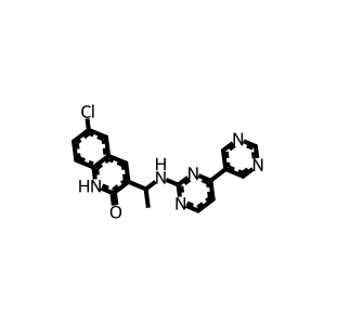 CC(Nc1nccc(-c2cncnc2)n1)c1cc2cc(Cl)ccc2[nH]c1=O